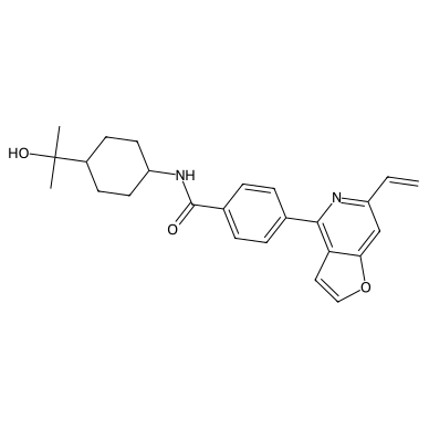 C=Cc1cc2occc2c(-c2ccc(C(=O)NC3CCC(C(C)(C)O)CC3)cc2)n1